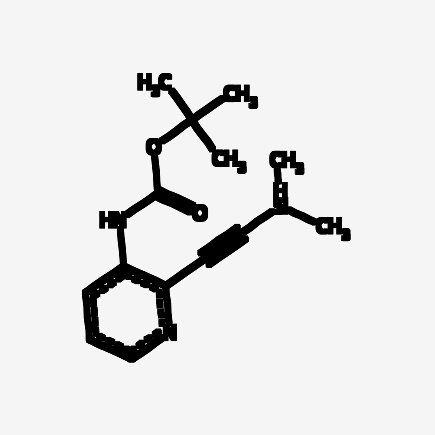 C[SiH](C)C#Cc1ncccc1NC(=O)OC(C)(C)C